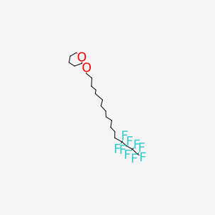 FC(F)(F)C(F)(F)C(F)(F)C(F)(F)CCCCCCCCCCCCCOC1CCCCO1